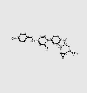 CC(Cc1nc2ccc(-n3ccc(OCc4ccc(Cl)cc4)cc3=O)cc2[nH]1)C1CC1